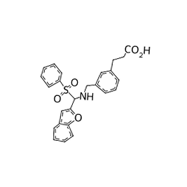 O=C(O)CCc1cccc(CNC(c2cc3ccccc3o2)S(=O)(=O)c2ccccc2)c1